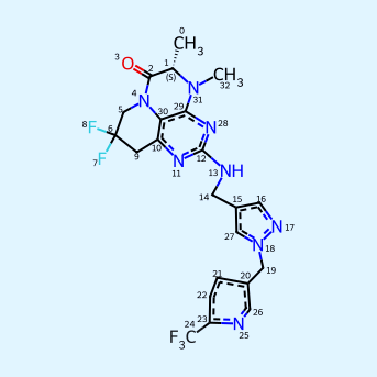 C[C@H]1C(=O)N2CC(F)(F)Cc3nc(NCc4cnn(Cc5ccc(C(F)(F)F)nc5)c4)nc(c32)N1C